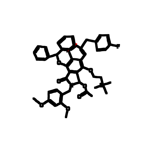 COc1ccc(CN2C(=O)c3c(c(OCC[Si](C)(C)C)c4cc(Cc5ccc(F)cc5)cnc4c3OC(c3ccccc3)c3ccccc3)C2OC(C)=O)c(OC)c1